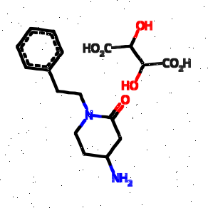 NC1CCN(CCc2ccccc2)C(=O)C1.O=C(O)C(O)C(O)C(=O)O